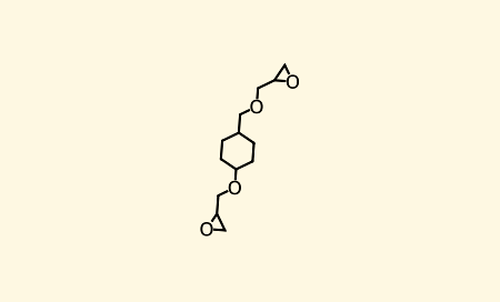 C1CC(OCC2CO2)CCC1COCC1CO1